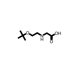 CC(C)(C)OCCNCC(=O)O